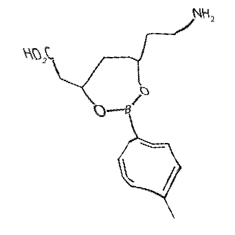 Cc1ccc(B2OC(CCN)CC(CC(=O)O)O2)cc1